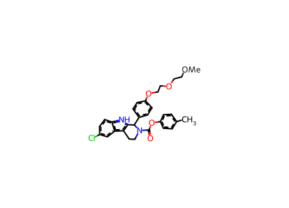 COCCOCCOc1ccc(C2c3[nH]c4ccc(Cl)cc4c3CCN2C(=O)Oc2ccc(C)cc2)cc1